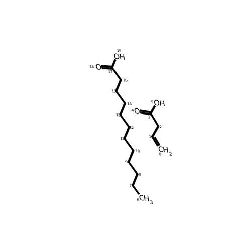 C=CCC(=O)O.CCCCCCCCCCCC(=O)O